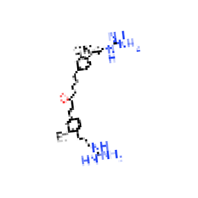 CCc1cc(/C=C/C(=O)CC/C=C/c2ccc(CCCNC(=N)N)c(OC)c2)ccc1CCCNC(=N)N